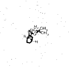 COC1C[C@H]2CC[C@@H]1N2C(=O)OC(C)(C)C